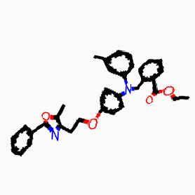 CCOC(=O)c1ccccc1CN(c1ccc(OCCc2nc(-c3ccccc3)oc2C)cc1)c1cccc(C)c1